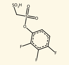 O=S(=O)(O)CS(=O)(=O)Oc1ccc(F)c(F)c1F